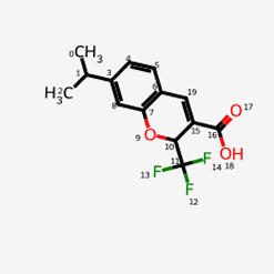 CC(C)c1ccc2c(c1)OC(C(F)(F)F)C(C(=O)O)=C2